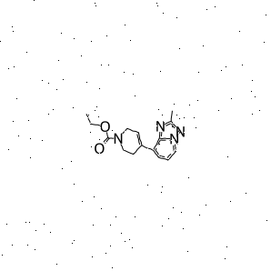 CCOC(=O)N1CC=C(c2cccn3nc(C)nc23)CC1